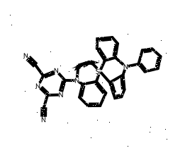 N#Cc1nc(C#N)nc(N2c3ccccc3[Si]3(c4ccccc4N(c4ccccc4)c4ccccc43)c3ccccc32)n1